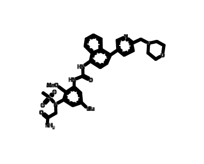 COc1c(NC(=O)Nc2ccc(-c3ccc(CN4CCOCC4)nc3)c3ccccc23)cc(C(C)(C)C)cc1N(CC(N)=O)S(C)(=O)=O